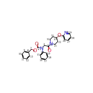 O=C(CN(C(=O)OCc1ccccc1)c1ccccc1)N1CCC(Oc2ccccn2)CC1